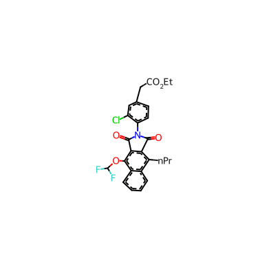 CCCc1c2c(c(OC(F)F)c3ccccc13)C(=O)N(c1ccc(CC(=O)OCC)cc1Cl)C2=O